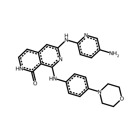 Nc1ccc(Nc2cc3cc[nH]c(=O)c3c(Nc3ccc(N4CCOCC4)cc3)n2)nc1